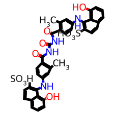 Cc1cc(Nc2c(S(=O)(=O)O)ccc3cccc(O)c23)ccc1C(=O)NC(=O)NC(=O)c1ccc(Nc2c(S(=O)(=O)O)ccc3cccc(O)c23)cc1C